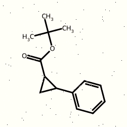 CC(C)(C)OC(=O)C1CC1c1ccccc1